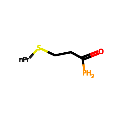 CCCSCCC(=O)P